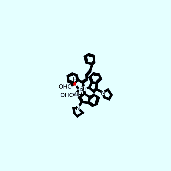 O=C[NH][In]([NH]C=O)[Zr]([C](=CC=Cc1ccccc1)c1ccccc1)([CH]1C=C(N2CCCC2)c2ccccc21)[CH]1C=C(N2CCCC2)c2ccccc21